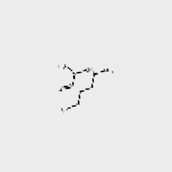 CC(C)C=O.NCCCCN